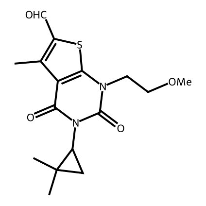 COCCn1c(=O)n(C2CC2(C)C)c(=O)c2c(C)c(C=O)sc21